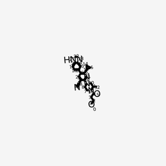 COCCC(=O)N1CCN(c2nc(C3CC3)c(-c3ccc4[nH]cnc4c3)cc2C#N)CC1C